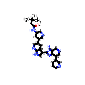 CC(C)(C)CC(=O)Nc1cncc(-c2cnc3[nH]cc(-c4nc5c(-c6cccnc6)cncc5[nH]4)c3c2)c1